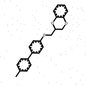 Cc1ccc(-c2ccc(OCC3COc4ccccc4O3)cc2)cc1